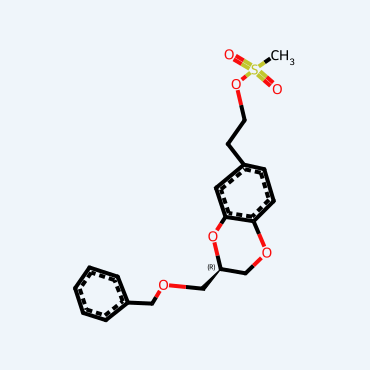 CS(=O)(=O)OCCc1ccc2c(c1)O[C@H](COCc1ccccc1)CO2